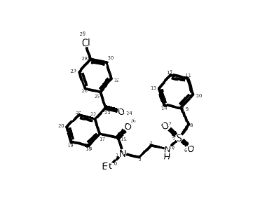 CCN(CCNS(=O)(=O)Cc1ccccc1)C(=O)c1ccccc1C(=O)c1ccc(Cl)cc1